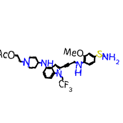 COc1cc(SN)ccc1NCC#Cc1cc2c(NC3CCN(CCOC(C)=O)CC3)cccc2n1CC(F)(F)F